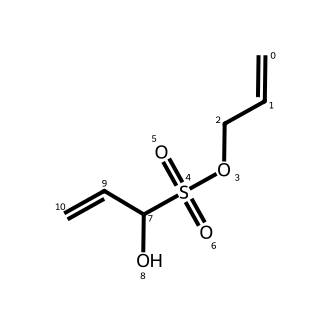 C=CCOS(=O)(=O)C(O)C=C